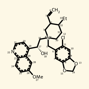 C=CC1C[N+](Cc2cc3c(cc2Cl)OCO3)(C[C@H](O)c2ccnc3ccc(OC)cc23)CCC1CC